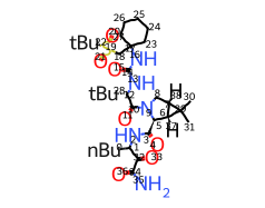 CCCCC(NC(=O)[C@@H]1[C@@H]2[C@H](CN1C(=O)[C@@H](NC(=O)NC1(CS(=O)(=O)C(C)(C)C)CCCCC1)C(C)(C)C)C2(C)C)C(=O)C(N)=O